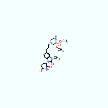 COP(=O)(OC)C1CN(CCCc2ccc3c(c2)n(C)c(=O)n3C2CCC(=O)NC2=O)CCN1